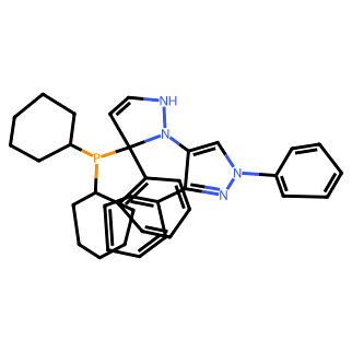 C1=CC(c2ccccc2)(P(C2CCCCC2)C2CCCCC2)N(c2cn(-c3ccccc3)nc2-c2ccccc2)N1